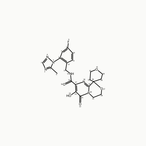 Cc1ncnn1-c1cc(F)ccc1CNC(=O)c1nc2n(c(=O)c1O)CCOC21CCOCC1